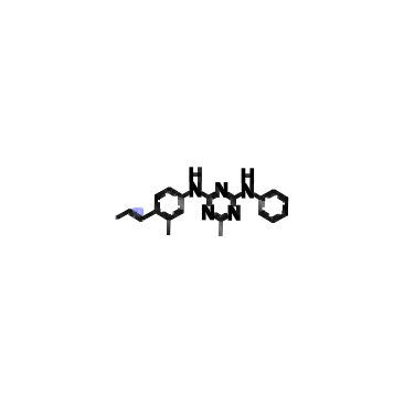 C/C=C/c1ccc(Nc2nc(C)nc(Nc3ccccc3)n2)cc1C